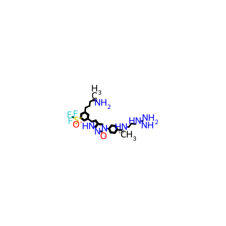 C[C@H](N)CCCc1cc(-c2cc3cn(-c4ccc([C@H](C)NCCCNC(=N)N)cc4)c(=O)nc3[nH]2)cc([S+]([O-])C(F)(F)F)c1